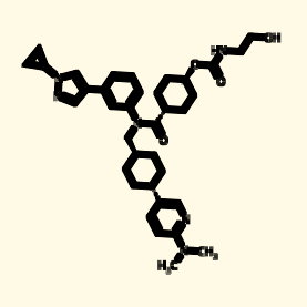 CN(C)c1ccc([C@H]2CC[C@H](CN(c3cccc(-c4cnn(C5CC5)c4)c3)C(=O)[C@H]3CC[C@H](OC(=O)NCCO)CC3)CC2)cn1